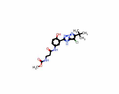 COC(=O)NCCC(=O)Nc1ccc(O)c(-c2nn3nc(C(C)(C)C)c(Cl)c3[nH]2)c1